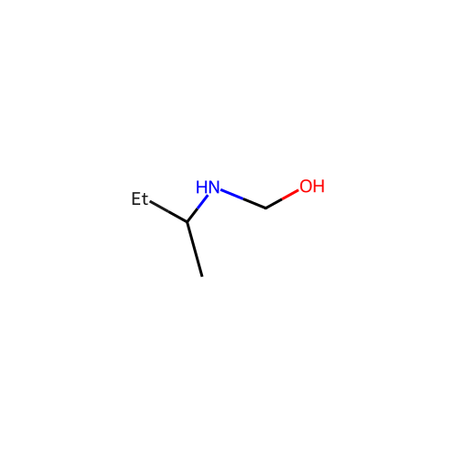 CCC(C)NCO